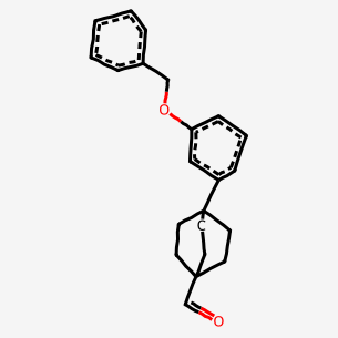 O=CC12CCC(c3cccc(OCc4ccccc4)c3)(CC1)CC2